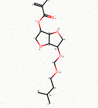 C=C(C)C(=O)OC1COC2C(OCOCCC(C)C)COC12